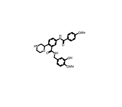 COc1ccc(C(=O)Nc2ccc(C3CNCCO3)c(C(=O)NCc3ccc(OC)c(O)c3)c2)cc1